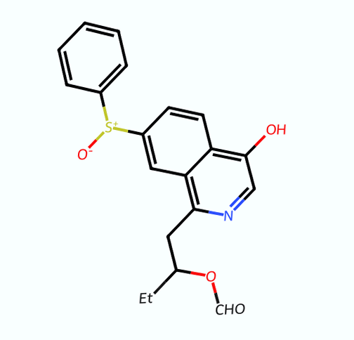 CCC(Cc1ncc(O)c2ccc([S+]([O-])c3ccccc3)cc12)OC=O